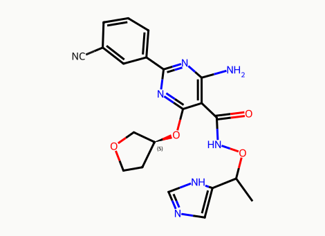 CC(ONC(=O)c1c(N)nc(-c2cccc(C#N)c2)nc1O[C@H]1CCOC1)c1cnc[nH]1